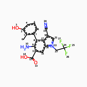 Cc1c(O)cccc1-c1c(N)c(C(=O)O)cc2c1c(C#N)cn2CC(F)(F)F